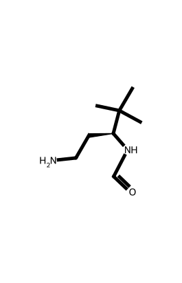 CC(C)(C)[C@H](CCN)NC=O